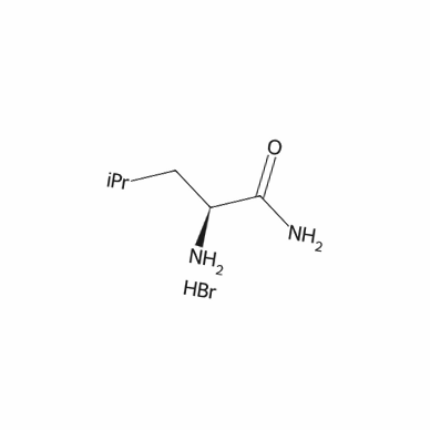 Br.CC(C)C[C@H](N)C(N)=O